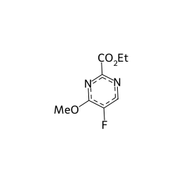 CCOC(=O)c1ncc(F)c(OC)n1